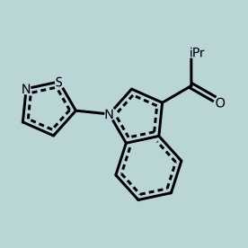 CC(C)C(=O)c1cn(-c2ccns2)c2ccccc12